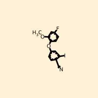 COc1cc(F)ccc1Oc1ccc(C#N)c(I)c1